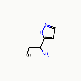 CCC(N)C1=CC=N[N]1